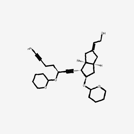 CCCC#CCC[C@@H](C#C[C@@H]1[C@H]2CC(=CCO)C[C@H]2C[C@H]1OC1CCCCO1)OC1CCCCO1